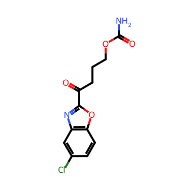 NC(=O)OCCCC(=O)c1nc2cc(Cl)ccc2o1